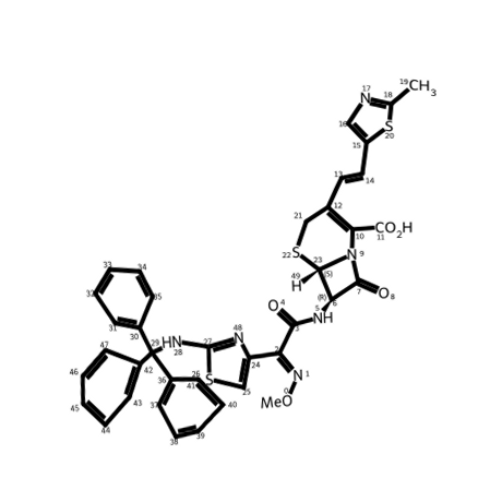 CON=C(C(=O)N[C@@H]1C(=O)N2C(C(=O)O)=C(C=Cc3cnc(C)s3)CS[C@@H]12)c1csc(NC(c2ccccc2)(c2ccccc2)c2ccccc2)n1